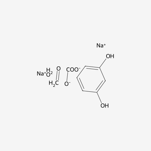 C=O.O.O=C([O-])[O-].Oc1cccc(O)c1.[Na+].[Na+]